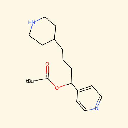 CC(C)(C)C(=O)OC(CCCC1CCNCC1)c1ccncc1